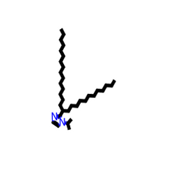 CCCCCCCCCCCCCCCC(CCCCCCCCCCCC)c1nccn1C(C)C